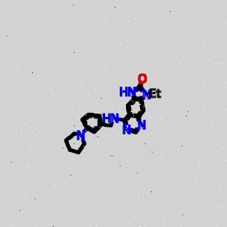 CCn1c(=O)[nH]c2cc3c(NCc4cccc(N5CCCCC5)c4)ncnc3cc21